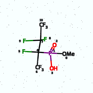 COP(=O)(O)C(F)(C(F)(F)F)C(F)(F)C(F)(F)F